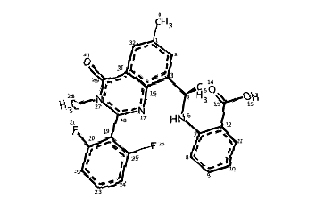 Cc1cc([C@@H](C)Nc2ccccc2C(=O)O)c2nc(-c3c(F)cccc3F)n(C)c(=O)c2c1